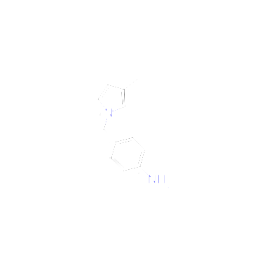 Cc1ccn(Cc2ccc(N)cc2)c1